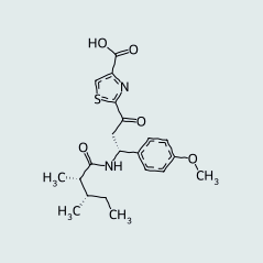 CC[C@H](C)[C@H](C)C(=O)N[C@H](CC(=O)c1nc(C(=O)O)cs1)c1ccc(OC)cc1